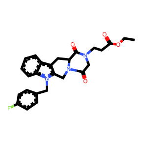 CCOC(=O)CCN1CC(=O)N2Cc3c(c4ccccc4n3Cc3ccc(F)cc3)CC2C1=O